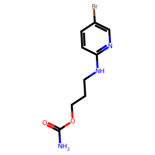 NC(=O)OCCCNc1ccc(Br)cn1